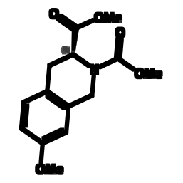 COC(=O)[C@@H]1Cc2ccc(OC)cc2CN1C(=O)OC